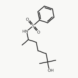 CC(CCCC(C)(C)O)NS(=O)(=O)c1ccccc1